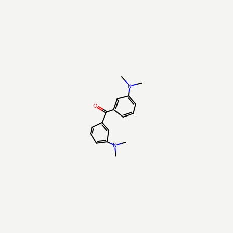 CN(C)c1cccc(C(=O)c2cccc(N(C)C)c2)c1